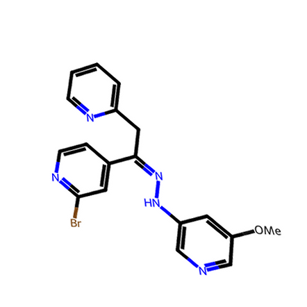 COc1cncc(NN=C(Cc2ccccn2)c2ccnc(Br)c2)c1